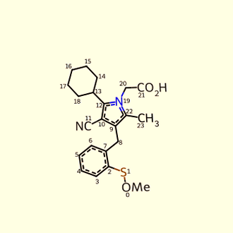 COSc1ccccc1Cc1c(C#N)c(C2CCCCC2)n(CC(=O)O)c1C